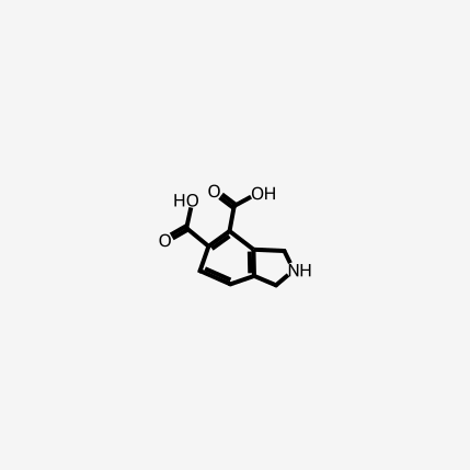 O=C(O)c1ccc2c(c1C(=O)O)CNC2